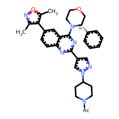 CC(=O)N1CCC(n2cc(-c3nc(N4CCOC[C@@H]4c4ccccc4)c4cc(-c5c(C)noc5C)ccc4n3)cn2)CC1